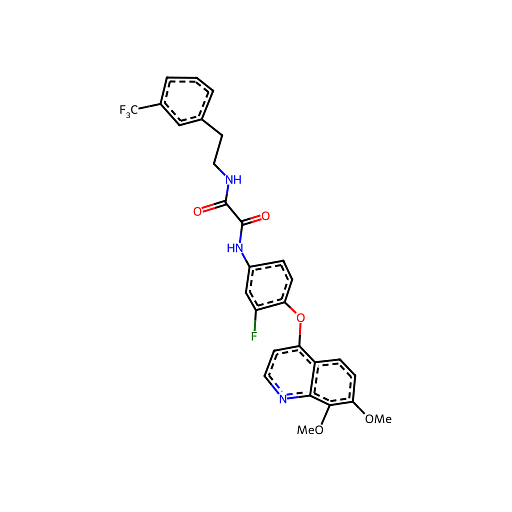 COc1ccc2c(Oc3ccc(NC(=O)C(=O)NCCc4cccc(C(F)(F)F)c4)cc3F)ccnc2c1OC